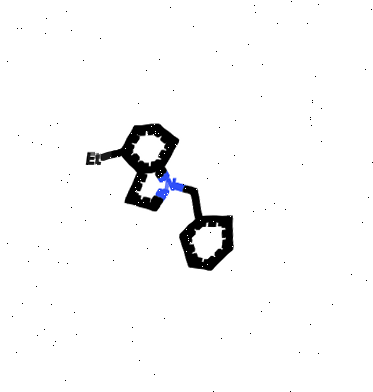 CCc1cccc2c1ccn2Cc1ccccc1